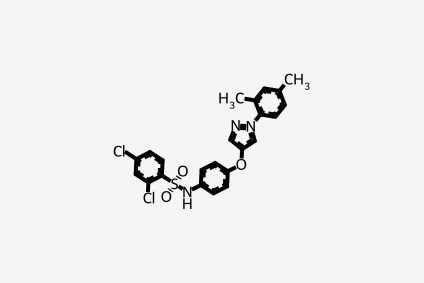 Cc1ccc(-n2cc(Oc3ccc(NS(=O)(=O)c4ccc(Cl)cc4Cl)cc3)cn2)c(C)c1